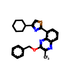 FC(F)(F)c1nc2cccc(-c3nc(C4CCCCC4)cs3)c2nc1OCc1ccccc1